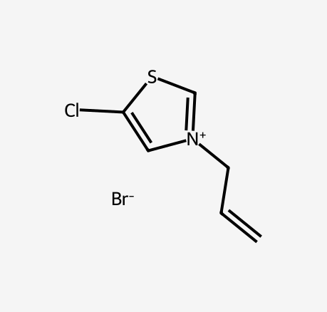 C=CC[n+]1csc(Cl)c1.[Br-]